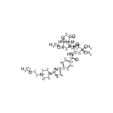 COCCN1CCN(c2nc(-c3ccc(C(=O)NC(CC(C)(C)C)C(=O)N4C[C@H](OC)[C@H]5OCC(=O)[C@H]54)cc3)cs2)CC1